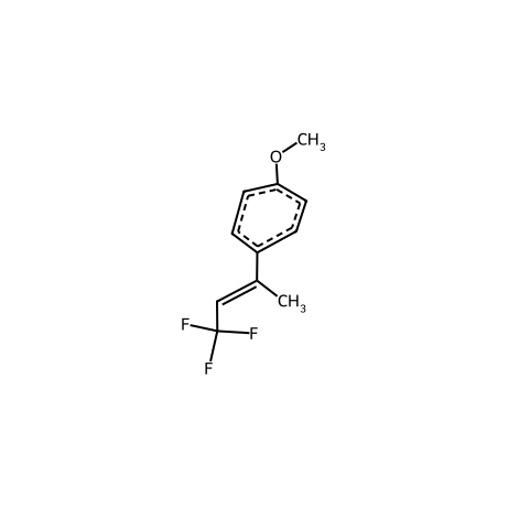 COc1ccc(/C(C)=C/C(F)(F)F)cc1